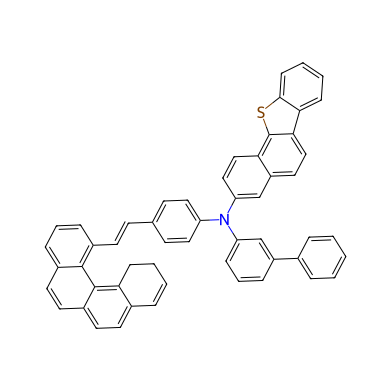 C1=Cc2ccc3ccc4cccc(C=Cc5ccc(N(c6cccc(-c7ccccc7)c6)c6ccc7c(ccc8c9ccccc9sc78)c6)cc5)c4c3c2CC1